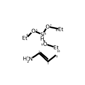 CC=CN.CCO[SiH](OCC)OCC